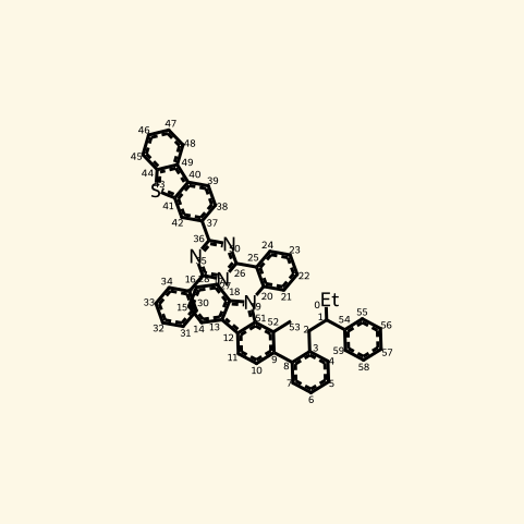 CCC(Cc1ccccc1-c1ccc2c3ccccc3n(-c3ccccc3-c3nc(-c4ccccc4)nc(-c4ccc5c(c4)sc4ccccc45)n3)c2c1C)c1ccccc1